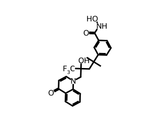 CC(C)(CC(O)(Cn1ccc(=O)c2ccccc21)C(F)(F)F)c1cccc(C(=O)NO)c1